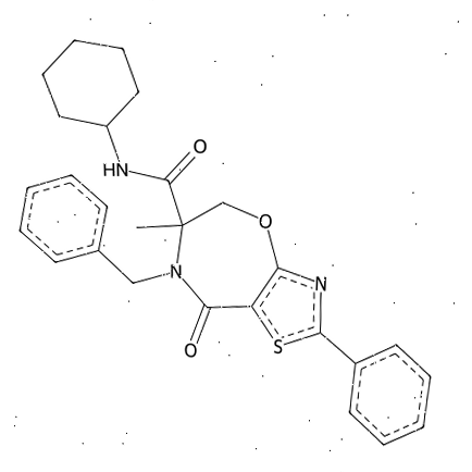 CC1(C(=O)NC2CCCCC2)COc2nc(-c3ccccc3)sc2C(=O)N1Cc1ccccc1